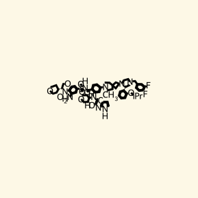 CC(C)Oc1ccccc1[C@H]1CN(Cc2ccc(F)c(F)c2)CCN1C1CC2(CCN(c3ccc(C(=O)NS(=O)(=O)c4cc5c(c([N+](=O)[O-])c4)N[C@H](C4CCOCC4)CO5)c(N4c5cc6cc[nH]c6nc5O[C@H]5COCC[C@@H]54)c3)[C@@H](C)C2)C1